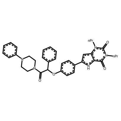 CCCn1c(=O)c2[nH]c(-c3ccc(OC(C(=O)N4CCN(c5ccccc5)CC4)c4ccccc4)cc3)cc2n(CCC)c1=O